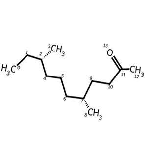 CC[C@H](C)CCC[C@@H](C)CCC(C)=O